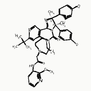 CCOc1cc(C(C)(C)C)ncc1C1=N[C@@](C)(C2C=CC(Cl)=CC2)[C@@](C)(c2ccc(Cl)cc2)N1C(=O)N1CCN(CC(=O)Nc2cccnc2OC)CC1